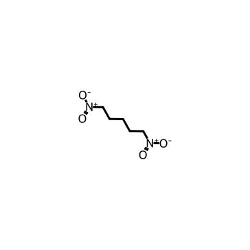 O=[N+]([O-])CCCCC[N+](=O)[O-]